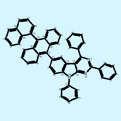 c1ccc(-c2nc(-c3ccccc3)c3c4cc(-c5c6ccccc6c(-c6cccc7ccccc67)c6ccccc56)ccc4n(-c4ccccc4)c3n2)cc1